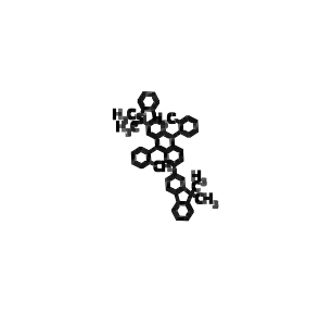 Cc1ccccc1-c1c2ccc(-c3ccc4c(c3)C(C)(C)c3ccccc3-4)cc2c(-c2ccccc2C)c2cc3c(cc12)-c1ccccc1[Si]3(C)C